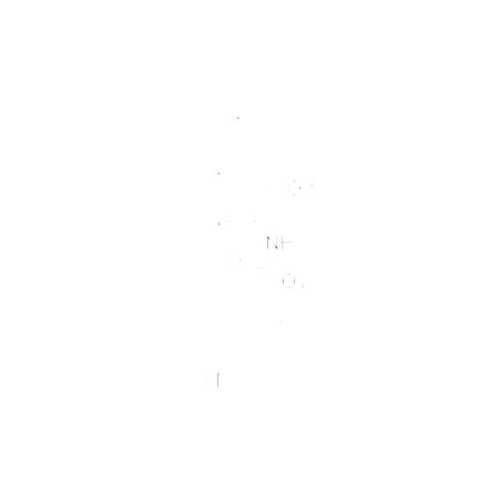 O=C(NS(=O)(=O)c1ccc(Cl)cc1)C(=O)c1ccccc1